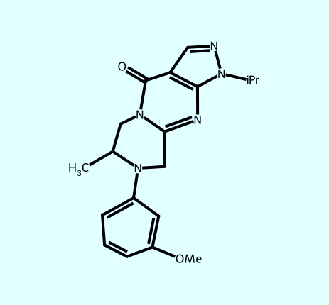 COc1cccc(N2Cc3nc4c(cnn4C(C)C)c(=O)n3CC2C)c1